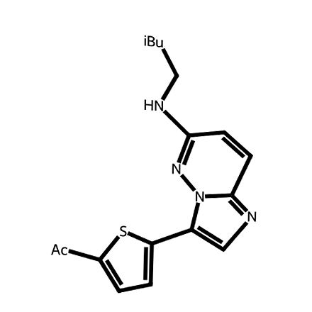 CCC(C)CNc1ccc2ncc(-c3ccc(C(C)=O)s3)n2n1